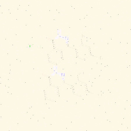 CC(C)(C)c1ccc(-c2n[nH]c(=O)c3ccccc23)c(C(C)(C)C)c1.CC(C)(C)c1ccc(-c2n[nH]c(=O)c3ccccc23)c(C(C)(C)C)c1.[Cl-].[Cl-].[Zr+2]